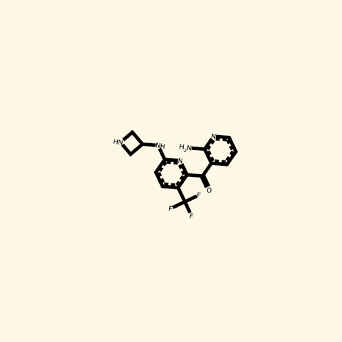 Nc1ncccc1C(=O)c1nc(NC2CNC2)ccc1C(F)(F)F